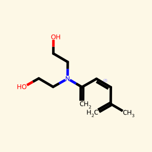 C=C(C)/C=C\C(=C)N(CCO)CCO